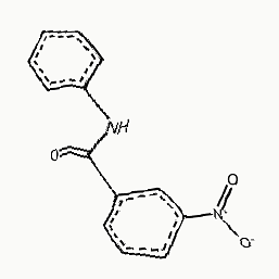 O=C(Nc1ccccc1)c1cccc([N+](=O)[O-])c1